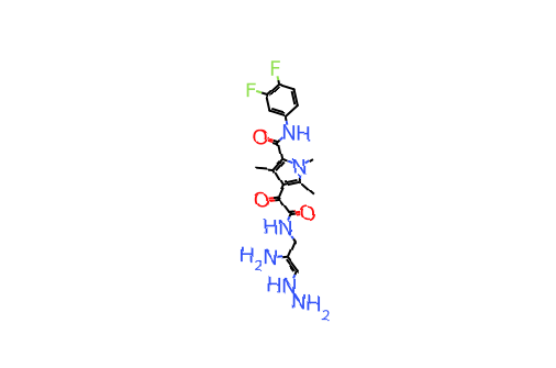 Cc1c(C(=O)C(=O)NC/C(N)=C/NN)c(C)n(C)c1C(=O)Nc1ccc(F)c(F)c1